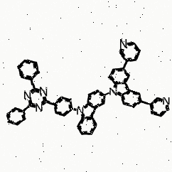 c1ccc(-c2nc(-c3ccccc3)nc(-c3ccc(-n4c5ccccc5c5cc(-n6c7ccc(-c8cccnc8)cc7c7cc(-c8cccnc8)ccc76)ccc54)cc3)n2)cc1